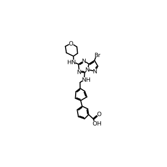 O=C(O)c1cccc(-c2ccc(CNc3nc(NC4CCOCC4)nc4c(Br)cnn34)cc2)c1